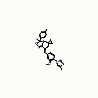 COc1cc(/C=C2\CC3(CC3)CN3C2=NOC3(C)c2ccc(C)cc2)ccc1-n1cnc(C)c1